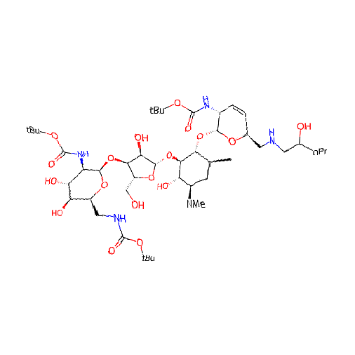 CCCC(O)CNC[C@@H]1C=C[C@@H](NC(=O)OC(C)(C)C)[C@@H](O[C@H]2[C@H](O[C@@H]3O[C@H](CO)[C@@H](O[C@H]4O[C@@H](CNC(=O)OC(C)(C)C)[C@@H](O)[C@H](O)[C@H]4NC(=O)OC(C)(C)C)[C@H]3O)[C@@H](O)[C@H](NC)C[C@@H]2C)O1